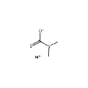 C[S-](C)C([O-])=S.[Ni+2]